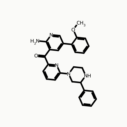 COc1ccccc1-c1cnc(N)c(C(=O)c2cccc(N3CCNC(c4ccccc4)C3)n2)c1